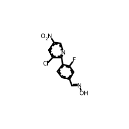 O=[N+]([O-])c1cnc(-c2ccc(/C=N/O)cc2F)c(Cl)c1